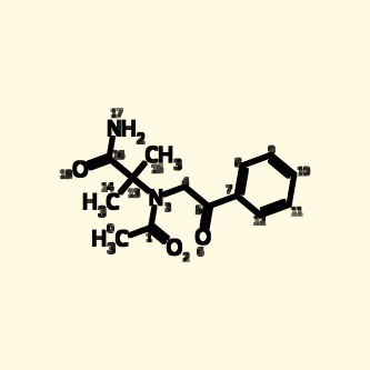 CC(=O)N(CC(=O)c1ccccc1)C(C)(C)C(N)=O